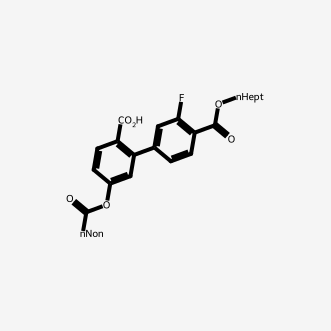 CCCCCCCCCC(=O)Oc1ccc(C(=O)O)c(-c2ccc(C(=O)OCCCCCCC)c(F)c2)c1